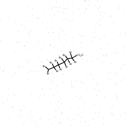 O=C(O)C(Br)(Br)C(Br)(Br)C(Br)(Br)C(Br)(Br)C(Br)(Br)C(Br)Br